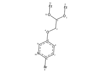 CCOC(COc1ccc(Br)nc1)OCC